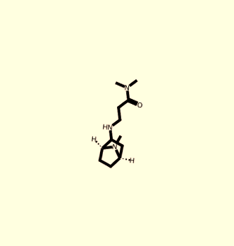 CN(C)C(=O)CCNC1C[C@H]2CC[C@@H]1N2C